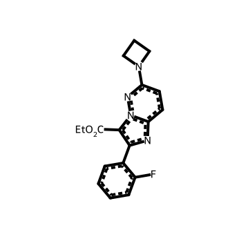 CCOC(=O)c1c(-c2ccccc2F)nc2ccc(N3CCC3)nn12